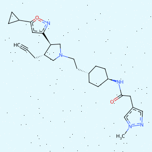 C#CC[C@H]1CN(CC[C@H]2CC[C@H](NC(=O)Cc3cnn(C)c3)CC2)C[C@@H]1c1cc(C2CC2)on1